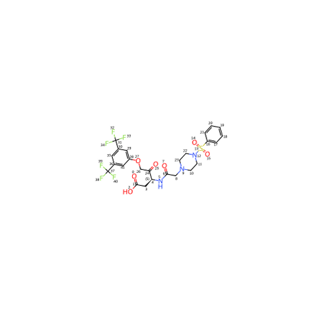 O=C(O)C[C@H](NC(=O)CN1CCN(S(=O)(=O)c2ccccc2)CC1)C(=O)COc1cc(C(F)(F)F)cc(C(F)(F)F)c1